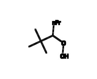 CCCC(OO)C(C)(C)C